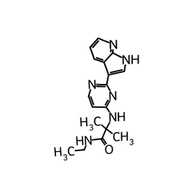 CCNC(=O)C(C)(C)Nc1ccnc(-c2c[nH]c3ncccc23)n1